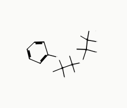 O=S(=O)(O)C(F)(F)C(F)(F)OC(F)(F)C(F)(F)Sc1ccccc1